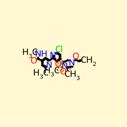 C=CC(=O)N1C[C@@H](C)N(S(C)(=O)=O)[C@H](c2cc(Cl)nc(-c3cc(C(=O)NC)cc(C)n3)c2)C1